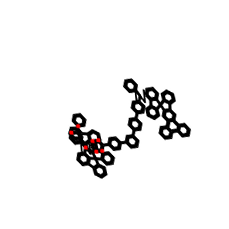 c1ccc(-c2cccc(N(c3ccc(-c4ccc(-c5cccc(-c6ccc(-c7ccc(N(c8ccccc8)c8cccc9c8-c8ccccc8C98c9ccccc9-c9cc%10c%11ccccc%11c%11ccccc%11c%10cc98)cc7)cc6)c5)cc4)cc3)c3cccc4c3C3(c5ccccc5-4)c4ccccc4-c4c3cc3c5c(cccc45)-c4ccccc4-3)c2)cc1